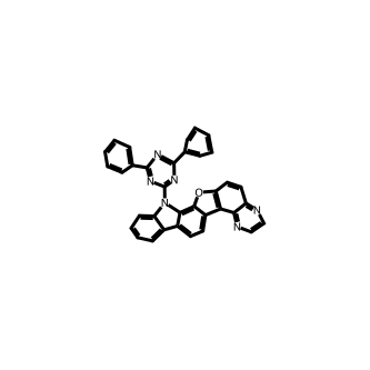 c1ccc(-c2nc(-c3ccccc3)nc(-n3c4ccccc4c4ccc5c(oc6ccc7nccnc7c65)c43)n2)cc1